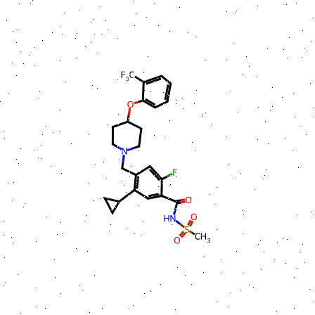 CS(=O)(=O)NC(=O)c1cc(C2CC2)c(CN2CCC(Oc3ccccc3C(F)(F)F)CC2)cc1F